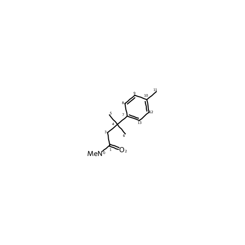 CNC(=O)CC(C)(C)c1ccc(C)cc1